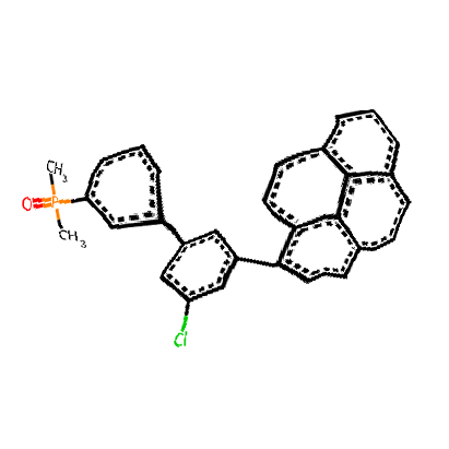 CP(C)(=O)c1cccc(-c2cc(Cl)cc(-c3ccc4ccc5cccc6ccc3c4c56)c2)c1